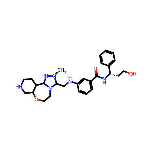 CN1NC2C3CCNCC3OCCN2C1CNc1cccc(C(=O)N[C@@H](CCO)c2ccccc2)c1